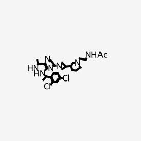 CC(=N)c1ncc(N2CC(C3CCCN(CCNC(C)=O)C3)C2)nc1NC(C)c1ccc(Cl)cc1Cl